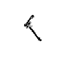 CCCCCCCCCCCCCCCCCNC(=O)O[C@@H]1CCCO[C@H]1N(CCCCC[n+]1ccsc1)C(=O)OC